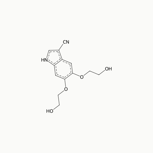 N#Cc1c[nH]c2cc(OCCO)c(OCCO)cc12